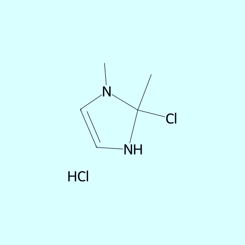 CN1C=CNC1(C)Cl.Cl